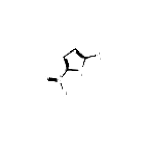 CC(=O)c1ccc([N+](=O)O)o1